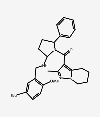 COc1ccc(C(C)(C)C)cc1CNC1CCC(c2ccccc2)N1C(=O)c1c(C)nn2c1CCCC2